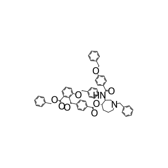 O=C(N[C@H]1CN(Cc2ccccc2)CCC[C@@H]1OC(=O)c1ccc(C(=O)c2c(OCc3ccccc3)cccc2C(=O)OCc2ccccc2)cc1)c1ccc(OCc2ccccc2)cc1